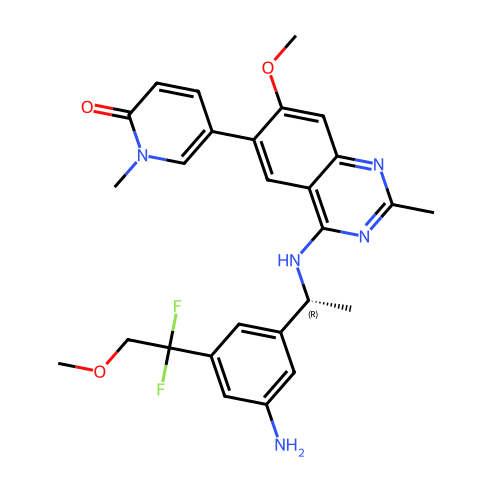 COCC(F)(F)c1cc(N)cc([C@@H](C)Nc2nc(C)nc3cc(OC)c(-c4ccc(=O)n(C)c4)cc23)c1